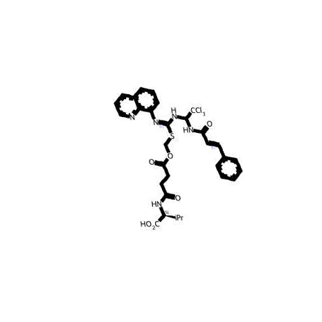 CC(C)[C@H](NC(=O)CCC(=O)OCS/C(=N/c1cccc2cccnc12)NC(NC(=O)/C=C/c1ccccc1)C(Cl)(Cl)Cl)C(=O)O